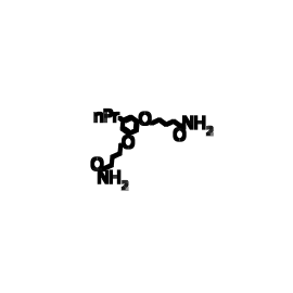 [CH2]CCc1cc(OCCCCC(N)=O)cc(OCCCCC(N)=O)c1